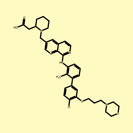 Cc1c(Nc2nccc3cc(CN4CCCCC4CC(=O)O)cnc23)cccc1-c1ccc(Cl)c(OCCCN2CCOCC2)c1